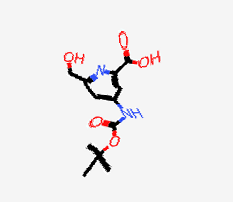 CC(C)(C)OC(=O)Nc1cc(CO)nc(C(=O)O)c1